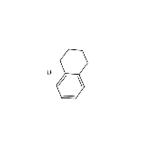 [Li].c1ccc2c(c1)CCCC2